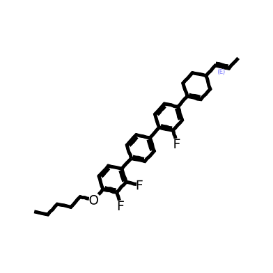 C/C=C/C1CC=C(c2ccc(-c3ccc(-c4ccc(OCCCCC)c(F)c4F)cc3)c(F)c2)CC1